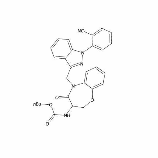 CCCCOC(=O)NC1COc2ccccc2N(Cc2nn(-c3ccccc3C#N)c3ccccc23)C1=O